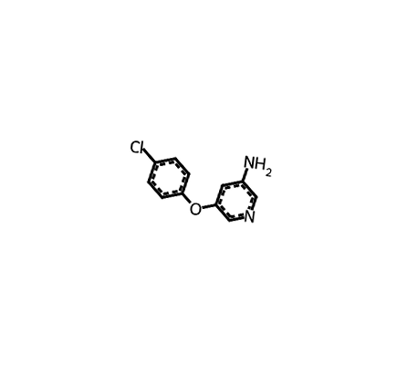 Nc1cncc(Oc2ccc(Cl)cc2)c1